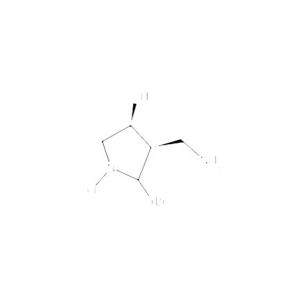 C[C@@H]1CN(C(C)(C)C)C(C(C)(C)C)[C@@H]1CN